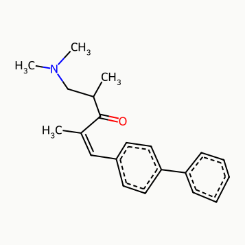 CC(=Cc1ccc(-c2ccccc2)cc1)C(=O)C(C)CN(C)C